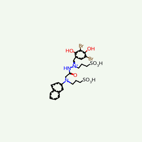 O=C(CN(CCCS(=O)(=O)O)c1ccc2ccccc2c1)N/[N+](=C/c1cc(Br)c(O)c(Br)c1O)CCCS(=O)(=O)O